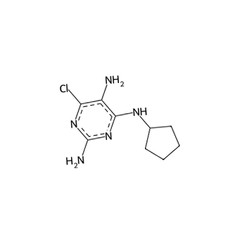 Nc1nc(Cl)c(N)c(NC2CCCC2)n1